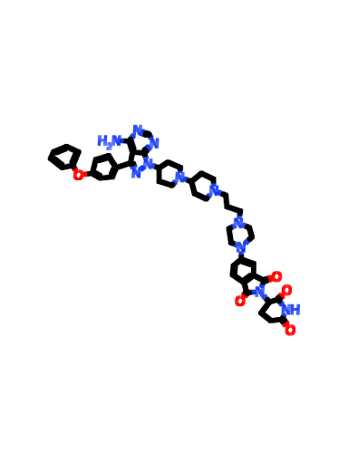 Nc1ncnc2c1c(-c1ccc(Oc3ccccc3)cc1)nn2C1CCN(C2CCN(CCCN3CCN(c4ccc5c(c4)C(=O)N(C4CCC(=O)NC4=O)C5=O)CC3)CC2)CC1